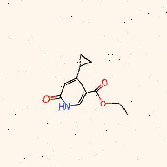 CCOC(=O)c1c[nH]c(=O)cc1C1CC1